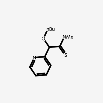 CCCCOC(C(=S)NC)c1ccccn1